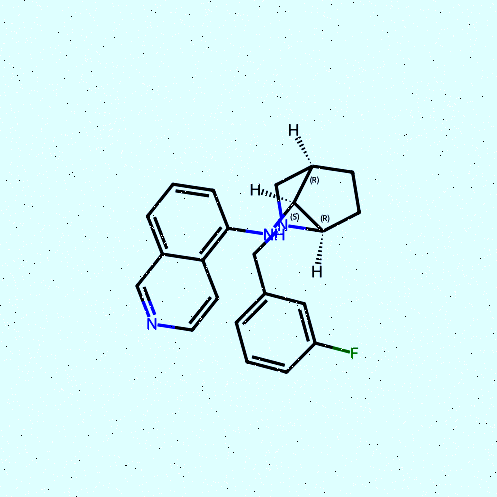 Fc1cccc(CN2C[C@H]3CC[C@@H]2[C@H]3Nc2cccc3cnccc23)c1